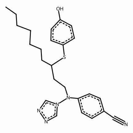 CCCCCCCC(CCN(c1ccc(C#N)cc1)n1cnnc1)Sc1ccc(O)cc1